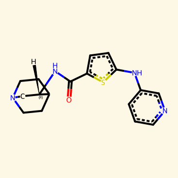 O=C(N[C@H]1CN2CCC1CC2)c1ccc(Nc2cccnc2)s1